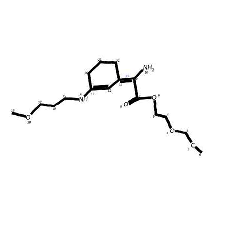 CCCOCCOC(=O)/C(N)=C1\C=C(NCCCOC)CCC1